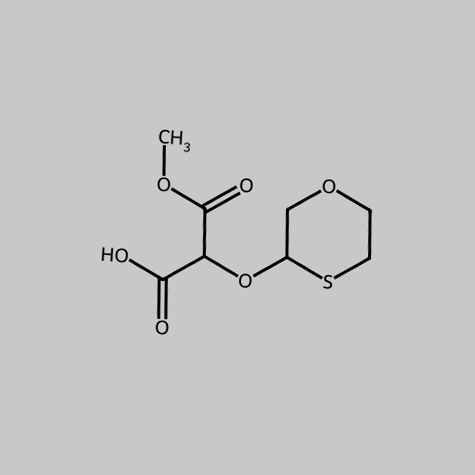 COC(=O)C(OC1COCCS1)C(=O)O